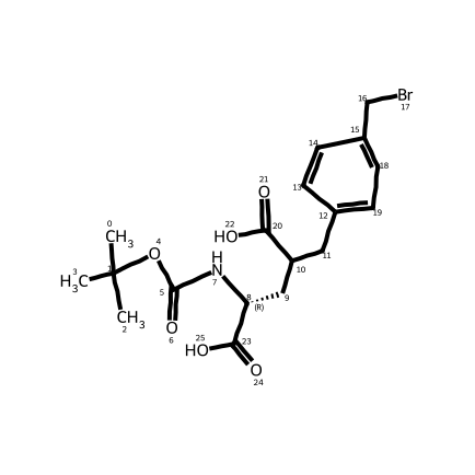 CC(C)(C)OC(=O)N[C@H](CC(Cc1ccc(CBr)cc1)C(=O)O)C(=O)O